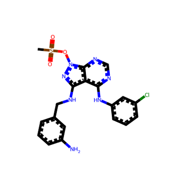 CS(=O)(=O)On1nc(NCc2cccc(N)c2)c2c(Nc3cccc(Cl)c3)ncnc21